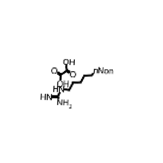 CCCCCCCCCCCCCCNC(=N)N.O=C(O)C(=O)O